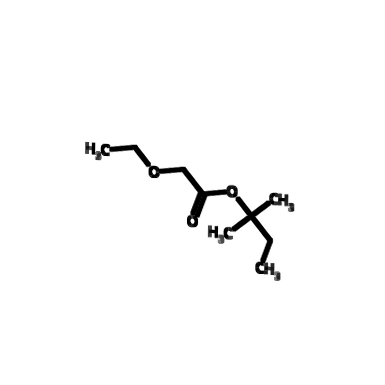 CCOCC(=O)OC(C)(C)CC